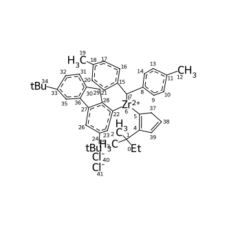 CCC(C)(C)C1=[C]([Zr+2](=[C](c2ccc(C)cc2)c2ccc(C)cc2)[c]2cc(C(C)(C)C)cc3c2Cc2ccc(C(C)(C)C)cc2-3)CC=C1.[Cl-].[Cl-]